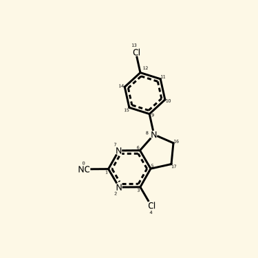 N#Cc1nc(Cl)c2c(n1)N(c1ccc(Cl)cc1)CC2